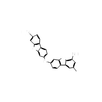 Cc1cc(N)c2oc3cc(Nc4ccc5c(c4)oc4cc(N)ccc45)ccc3c2c1